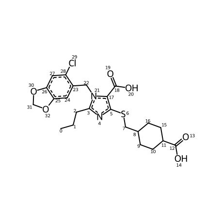 CCCc1nc(SCC2CCC(C(=O)O)CC2)c(C(=O)O)n1Cc1cc2c(cc1Cl)OCO2